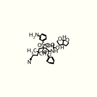 CC(C)(CCC#N)CC(N)([C@H](O)[C@H](Cc1ccccc1)NC(=O)O[C@H]1CO[C@H]2OCC[C@H]21)S(=O)(=O)c1cccc(N)c1